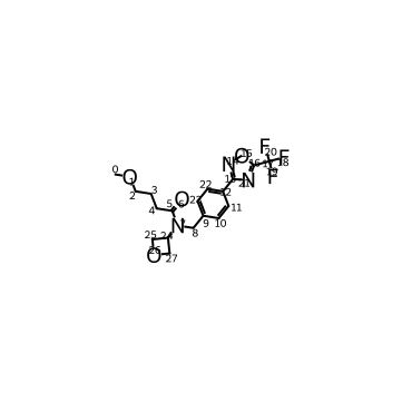 COCCCC(=O)N(Cc1ccc(-c2noc(C(F)(F)F)n2)cc1)C1COC1